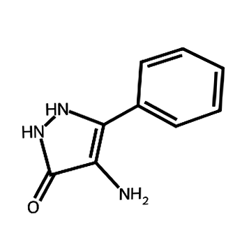 Nc1c(-c2ccccc2)[nH][nH]c1=O